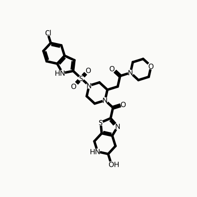 O=C(CC1CN(S(=O)(=O)c2cc3cc(Cl)ccc3[nH]2)CCN1C(=O)c1nc2c(s1)CNC(O)C2)N1CCOCC1